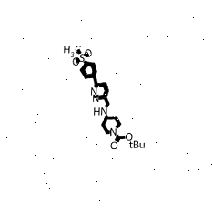 CC(C)(C)OC(=O)N1CCC(NCc2ccc(-c3ccc(S(C)(=O)=O)cc3)nn2)CC1